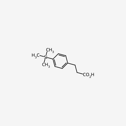 C[Si](C)(C)c1ccc(CCC(=O)O)cc1